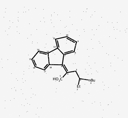 CCCCC(CC)CC(C(=O)O)=C1c2ccccc2-c2ccccc21